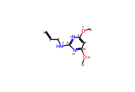 C=CCNc1nc(OC)cc(OC)n1